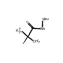 CC(C)(C)NC(=O)C(C)(C)F